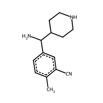 Cc1ccc(C(N)C2CCNCC2)cc1C#N